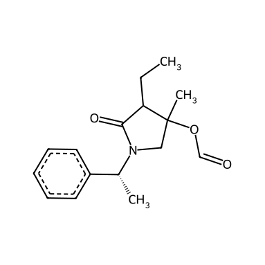 CCC1C(=O)N([C@H](C)c2ccccc2)CC1(C)OC=O